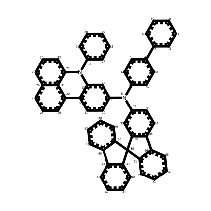 c1ccc(-c2ccc(N(c3ccc4c(c3)N(c3ccccc3)c3cccc5cccc-4c35)c3ccc4c(c3)C3(c5ccccc5-c5ccccc53)c3ccccc3-4)cc2)cc1